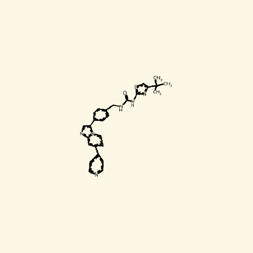 CC(C)(C)c1csc(NC(=O)NCc2ccc(-c3cnc4cc(-c5ccncc5)ccn34)cc2)n1